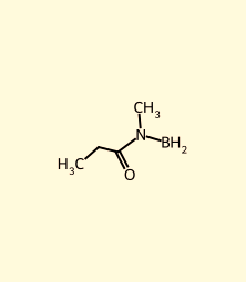 BN(C)C(=O)CC